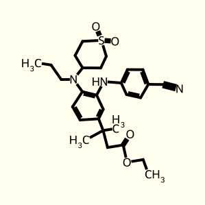 CCCN(c1ccc(C(C)(C)CC(=O)OCC)cc1Nc1ccc(C#N)cc1)C1CCS(=O)(=O)CC1